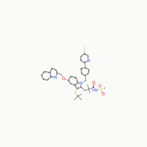 CC(C)(C)Sc1c(CC(C)(C)C(=O)NS(C)(=O)=O)n(Cc2ccc(-c3ccc(F)cn3)cc2)c2ccc(OCc3ccc4ccccc4n3)cc12